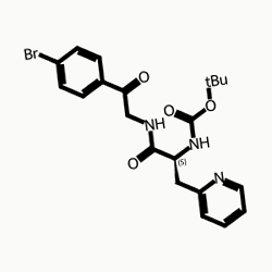 CC(C)(C)OC(=O)N[C@@H](Cc1ccccn1)C(=O)NCC(=O)c1ccc(Br)cc1